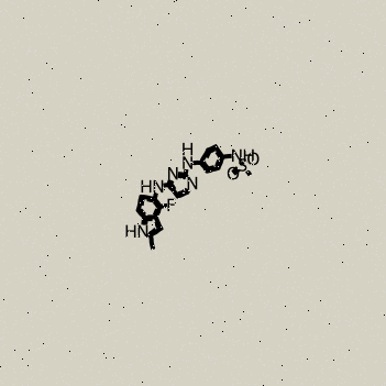 Cc1cc2c(F)c(Nc3ccnc(Nc4ccc(NS(C)(=O)=O)cc4)n3)ccc2[nH]1